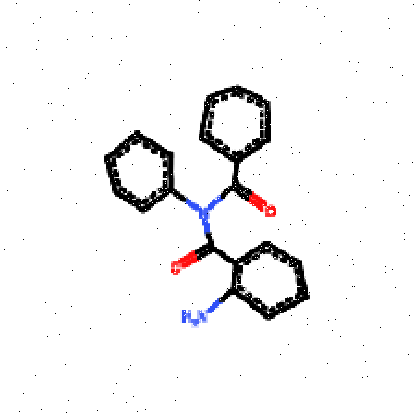 Nc1ccccc1C(=O)N(C(=O)c1ccccc1)c1ccccc1